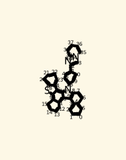 c1ccc2c(c1)ccc1c2c2c3ccccc3c3sc4ccccc4c3c2n1-c1ccc(-c2cn3ccccc3n2)cc1